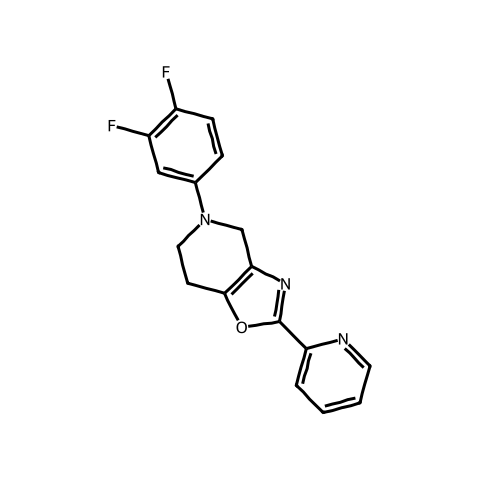 Fc1ccc(N2CCc3oc(-c4ccccn4)nc3C2)cc1F